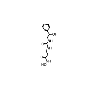 O=C(CCNC(=O)NCC(O)c1ccccc1)NO